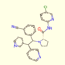 N#Cc1cccc(C(C(c2cccnc2)c2cccnc2)N2CCC[C@H]2C(=O)Nc2ccc(Cl)cn2)c1